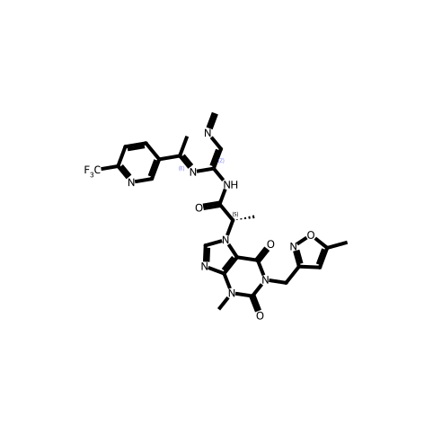 C=N/C=C(\N=C(/C)c1ccc(C(F)(F)F)nc1)NC(=O)[C@H](C)n1cnc2c1c(=O)n(Cc1cc(C)on1)c(=O)n2C